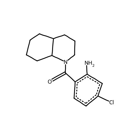 Nc1cc(Cl)ccc1C(=O)N1CCCC2CCCCC21